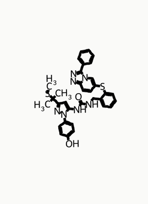 CSC(C)(C)c1cc(NC(=O)NCc2ccccc2Sc2ccc3nnc(-c4ccccc4)n3c2)n(-c2ccc(O)cc2)n1